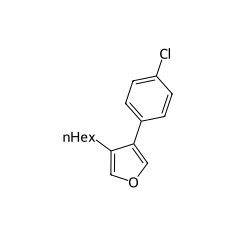 [CH2]CCCCCc1cocc1-c1ccc(Cl)cc1